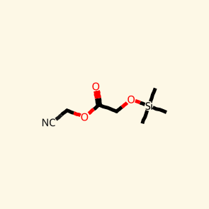 C[Si](C)(C)OCC(=O)OCC#N